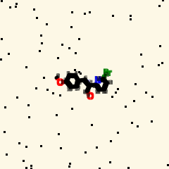 COc1ccc(/C=C(\C=O)c2cccc(Br)n2)cc1